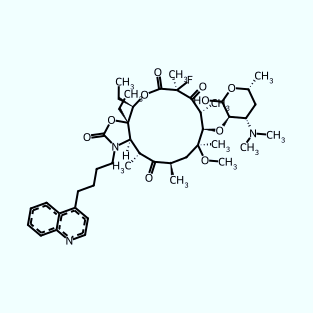 CC[C@H]1OC(=O)[C@@](C)(F)C(=O)[C@H](C)[C@@H](O[C@H]2C(O)O[C@H](C)C[C@@H]2N(C)C)[C@@](C)(OC)C[C@@H](C)C(=O)[C@H](C)[C@H]2N(CCCCc3ccnc4ccccc34)C(=O)O[C@]12CC